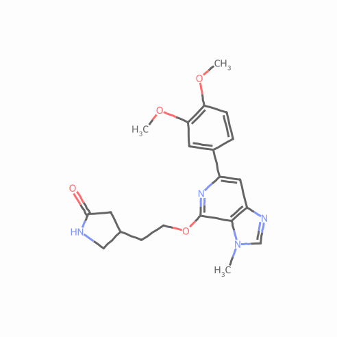 COc1ccc(-c2cc3ncn(C)c3c(OCCC3CNC(=O)C3)n2)cc1OC